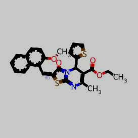 CCOC(=O)C1=C(C)N=c2s/c(=C/c3c(OC)ccc4ccccc34)c(=O)n2C1c1cccs1